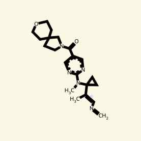 C=N/C=C(\C)C1(N(C)c2ncc(C(=O)N3CCC4(CCOCC4)C3)cn2)CC1